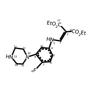 CCOC(=O)C(=CNc1ccc(F)c(N2CCNCC2)c1)C(=O)OCC